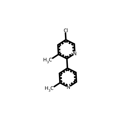 Cc1cc(-c2ncc(Cl)cc2C)ccn1